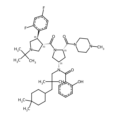 CN1CCN(C(=O)[C@@H]2C[C@H](N(CC(C)(C)CC3CCC(C)(C)CC3)C(=O)c3ccccc3O)CN2C(=O)[C@@H]2CN(C(C)(C)C)C[C@H]2c2ccc(F)cc2F)CC1